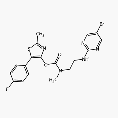 Cc1nc(OC(=O)N(C)CCNc2ncc(Br)cn2)c(-c2ccc(F)cc2)s1